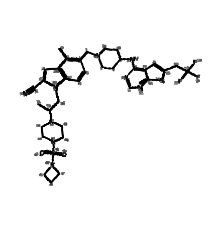 Cc1c(CN2CCC(Nc3ncnc4sc(CC(F)(F)F)cc34)CC2)ccc2c1cc(C#N)n2CC(C)N1CCN(S(=O)(=O)N2CCC2)CC1